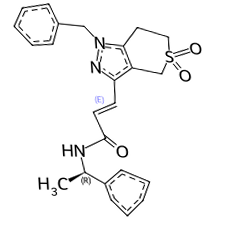 C[C@@H](NC(=O)/C=C/c1nn(Cc2ccccc2)c2c1CS(=O)(=O)CC2)c1ccccc1